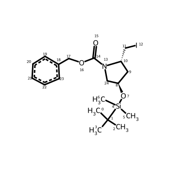 CC(C)(C)[Si](C)(C)O[C@@H]1C[C@@H](CI)N(C(=O)OCc2ccccc2)C1